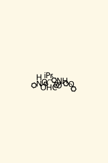 CC(C)c1cc(NC(=O)c2ccc(Oc3ccccc3)cc2)c(OC=O)cc1Cc1ccc(CNc2ccccc2)o1